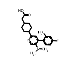 Cc1cc(F)ccc1-c1cc(C2CCC(CC(=O)O)CC2)ncc1N(C)C